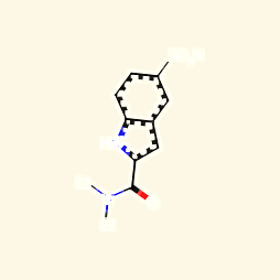 CCN(CC)C(=O)c1cc2cc(S(=O)(=O)O)ccc2[nH]1